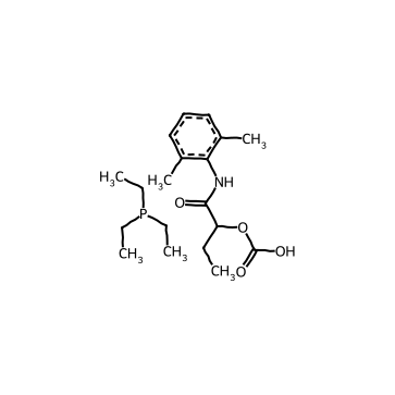 CCC(OC(=O)O)C(=O)Nc1c(C)cccc1C.CCP(CC)CC